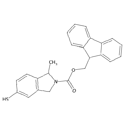 CC1c2ccc(S)cc2CN1C(=O)OCC1c2ccccc2-c2ccccc21